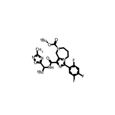 Cc1noc(C(NC(=O)c2nc(-c3cc(F)c(F)cc3F)n3c2CN(C(=O)OC(C)(C)C)CCC3)C(C)(C)C)n1